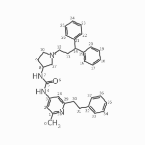 Cc1cc(NC(=O)NC2CCN(CCC(c3ccccc3)c3ccccc3)C2)cc(CCc2ccccc2)n1